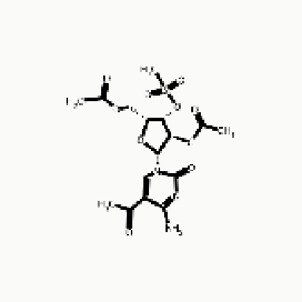 CC(=O)OC[C@H]1O[C@@H](n2cc(C(C)=O)c(N)nc2=O)[C@H](OC(C)=O)[C@H]1OS(C)(=O)=O